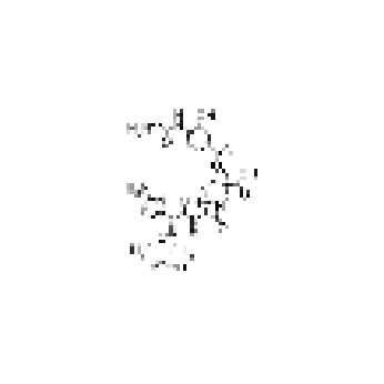 CC(C)(ON=C(C(=O)NC1C(=O)N2CC(COC(=O)c3ccc(NC(=O)CN)c(O)c3)(C(=O)O)CS[C@H]12)c1csc(N)n1)C(=O)O